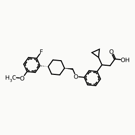 COc1ccc(F)c([C@H]2CC[C@H](COc3cccc(C(CC(=O)O)C4CC4)c3)CC2)c1